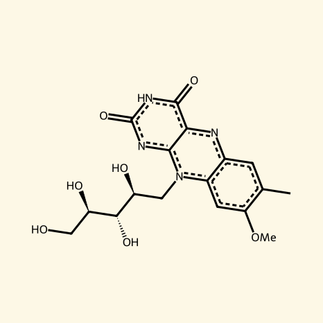 COc1cc2c(cc1C)nc1c(=O)[nH]c(=O)nc-1n2C[C@H](O)[C@H](O)[C@H](O)CO